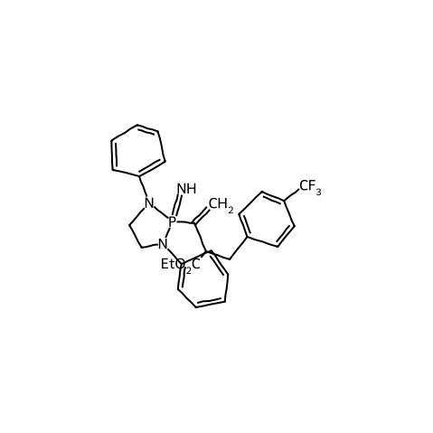 C=C(C(Cc1ccc(C(F)(F)F)cc1)C(=O)OCC)P1(=N)N(c2ccccc2)CCN1c1ccccc1